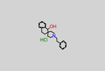 Cl.OC1c2ccccc2CCC12CCN(CCc1ccccc1)CC2